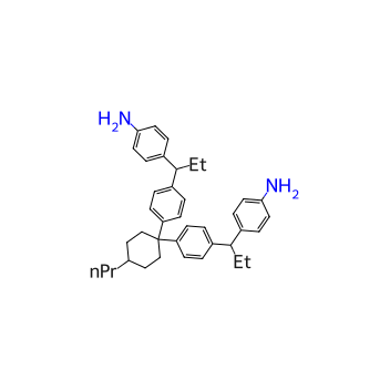 CCCC1CCC(c2ccc(C(CC)c3ccc(N)cc3)cc2)(c2ccc(C(CC)c3ccc(N)cc3)cc2)CC1